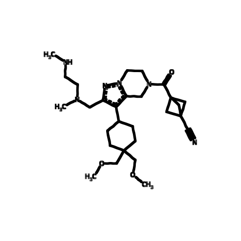 CNCCN(C)Cc1nn2c(c1C1CCC(COC)(COC)CC1)CN(C(=O)C13CC(C#N)(C1)C3)CC2